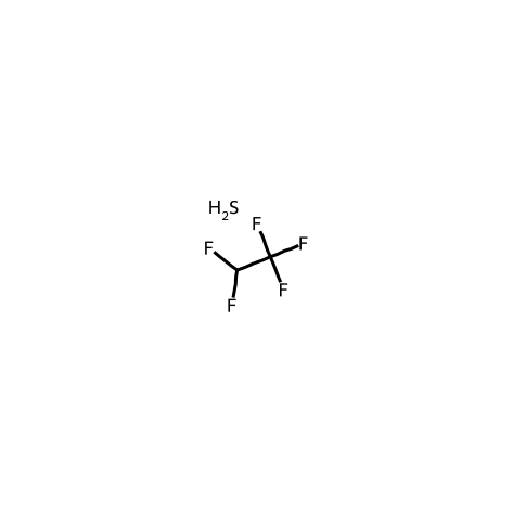 FC(F)C(F)(F)F.S